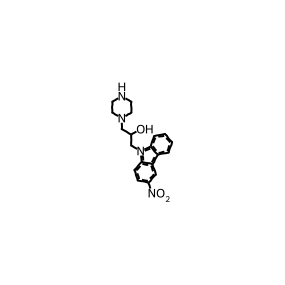 O=[N+]([O-])c1ccc2c(c1)c1ccccc1n2CC(O)CN1CCNCC1